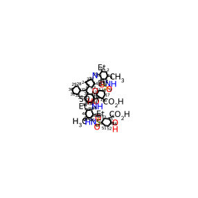 CCc1cc(C)c(NS(=O)(=O)c2ccc(O)c(C(=O)O)c2)c(CC)c1/N=c1/ccc2c(-c3ccccc3S(=O)(=O)O)c3ccc(Nc4c(CC)cc(C)c(NS(=O)(=O)c5ccc(O)c(C(=O)O)c5)c4CC)cc3oc-2c1